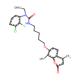 CCCc1c(OCCCCCNC(=O)N(CC=O)c2cccc(Cl)c2F)ccc2c(C(F)(F)F)cc(=O)oc12